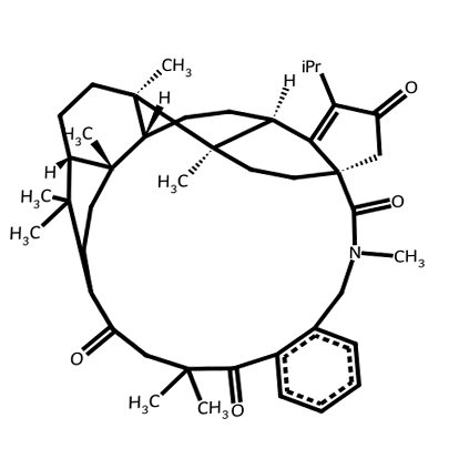 CC(C)C1=C2[C@@H]3CC[C@@H]4[C@]5(C)CCC6C(=O)CC(C)(C)C(=O)c7ccccc7CN(C)C(=O)[C@]2(CC[C@@]3(C)[C@]4(C)CC[C@H]5C6(C)C)CC1=O